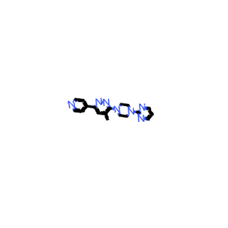 Cc1cc(-c2ccncc2)nnc1N1CCN(c2ncccn2)CC1